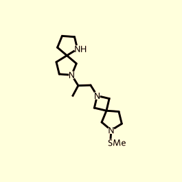 CSN1CCC2(CN(CC(C)N3CCC4(CCCN4)C3)C2)C1